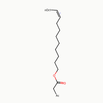 CCCCCCCC/C=C\CCCCCCCCOC(=O)CC(C)=O